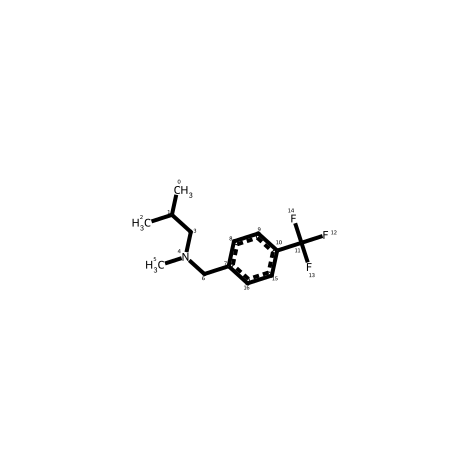 CC(C)CN(C)Cc1ccc(C(F)(F)F)cc1